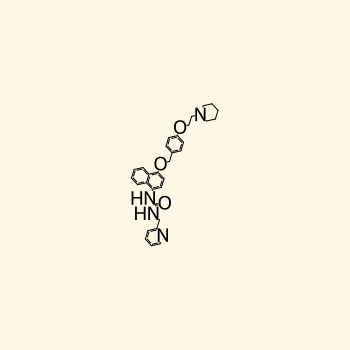 O=C(NCc1ccccn1)Nc1ccc(OCc2ccc(OCCN3CCCCC3)cc2)c2ccccc12